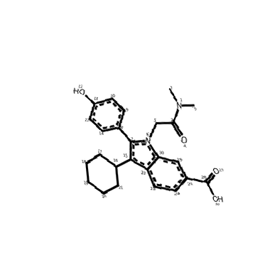 CN(C)C(=O)Cn1c(-c2ccc(O)cc2)c(C2CCCCC2)c2ccc(C(=O)O)cc21